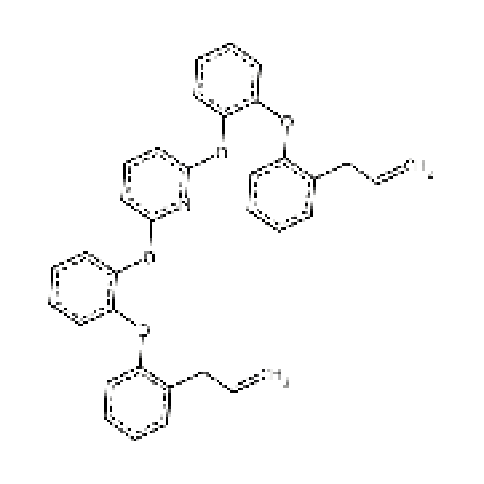 C=CCc1ccccc1Oc1ccccc1Oc1cccc(Oc2ccccc2Oc2ccccc2CC=C)n1